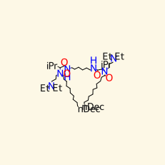 CCCCCCCCCCCCCCCCCCCC(=O)N(CCCN(CC)CC)C(C(=O)NCCCCCCNC(=O)C(C(C)C)N(CCCN(CC)CC)C(=O)CCCCCCCCCCCCCCCCCCC)C(C)C